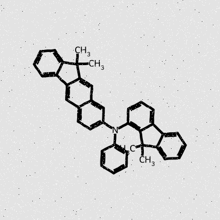 CC1(C)c2ccccc2-c2cc3ccc(N(c4ccccc4)c4cccc5c4C(C)(C)c4ccccc4-5)cc3cc21